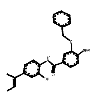 CC=C(C)c1ccc(NC(=O)c2ccc(NC(C)=O)c(OCc3ccccc3)c2)c(O)c1